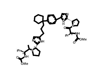 COC(=O)N[C@@H](C(C)C)C(C)N1CCC[C@H]1c1ncc(CCCC2(c3ccc(-c4cnc([C@@H]5CCCN5C(=O)[C@@H](NC(=O)OC)C(C)C)[nH]4)cc3)CCCCC2)[nH]1